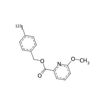 COc1cccc(C(=O)OCc2ccc([123I])cc2)n1